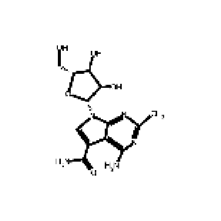 Cc1nc(N)c2c(C(N)=O)cn([C@@H]3O[C@H](CO)[C@@H](O)[C@H]3O)c2n1